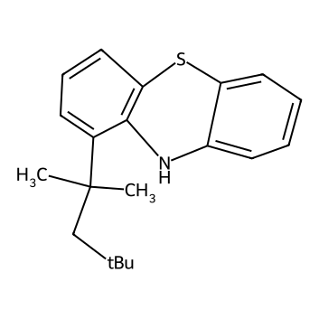 CC(C)(C)CC(C)(C)c1cccc2c1Nc1ccccc1S2